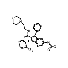 FC(F)(F)c1ccccc1.O=C(NCCN1CCOCC1)c1[nH]c2ncc(N=S(=O)=O)cc2c1-c1ccccc1